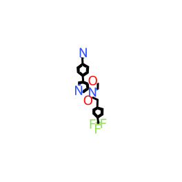 N#Cc1ccc(-c2cncc3c2OCCN3C(=O)Cc2ccc(C(F)(F)F)cc2)cc1